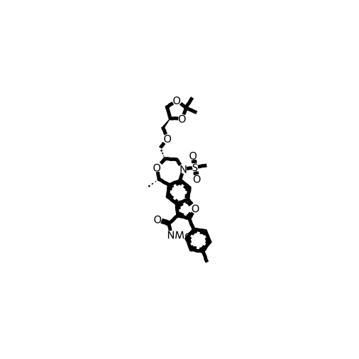 CNC(=O)c1c(-c2ccc(C)cc2)oc2cc3c(cc12)[C@H](C)O[C@H](COC[C@H]1COC(C)(C)O1)CN3S(C)(=O)=O